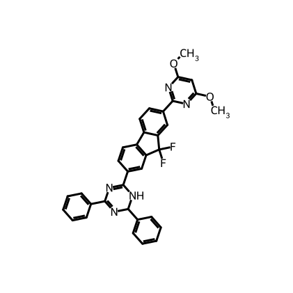 COc1cc(OC)nc(-c2ccc3c(c2)C(F)(F)c2cc(C4=NC(c5ccccc5)=NC(c5ccccc5)N4)ccc2-3)n1